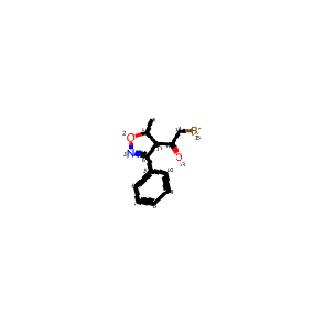 CC1ON=C(c2ccccc2)C1C(=O)CBr